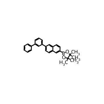 CC1(C)OB(c2ccc3cc(-c4cccc(-c5ccccc5)c4)ccc3c2)OC1(C)C